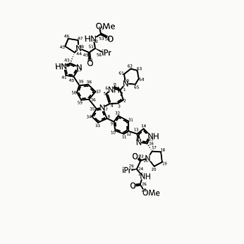 C=C(/C=C\C(=C/N)n1c(-c2ccc(-c3c[nH]c([C@@H]4CCCN4C(=O)[C@@H](NC(=O)OC)C(C)C)n3)cc2)ccc1-c1ccc(-c2c[nH]c([C@@H]3CCCN3C(=O)[C@@H](NC(=O)OC)C(C)C)n2)cc1)N1CCCCC1